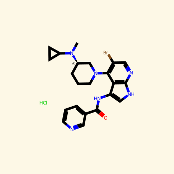 CN(C1CC1)[C@@H]1CCCN(c2c(Br)cnc3[nH]cc(NC(=O)c4cccnc4)c23)C1.Cl